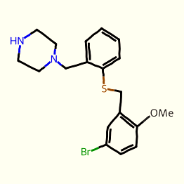 COc1ccc(Br)cc1CSc1ccccc1CN1CCNCC1